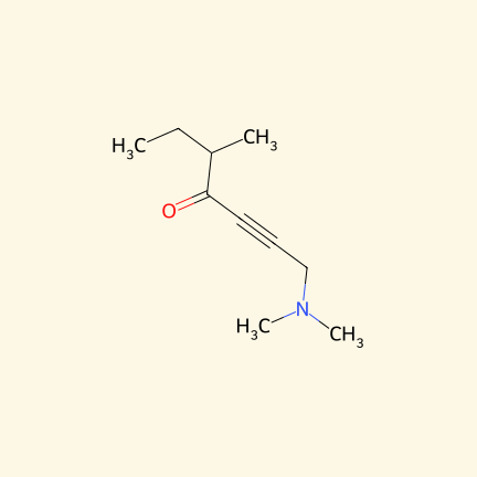 CCC(C)C(=O)C#CCN(C)C